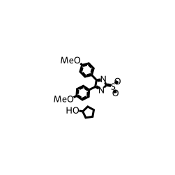 COc1ccc(C2=NC(=S(=O)=O)N=C2c2ccc(OC)cc2)cc1.OC1CCCC1